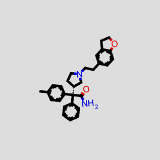 Cc1ccc(C(C(N)=O)(c2ccccc2)[C@@H]2CCN(CCc3ccc4c(c3)CCO4)C2)cc1